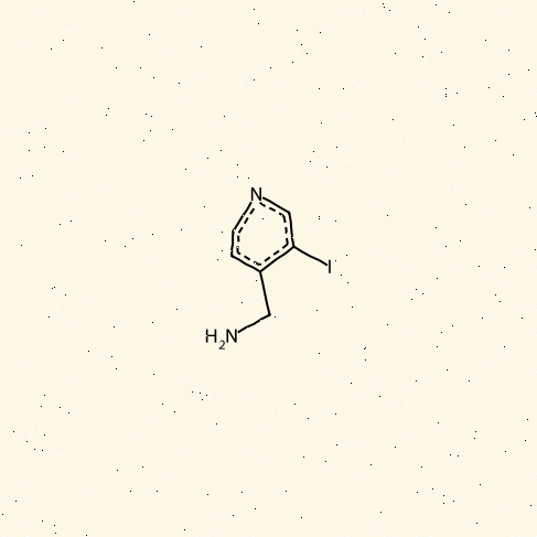 NCc1ccncc1I